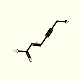 O=C(O)/C=C/C#CCBr